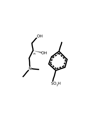 CN(C)C[C@@H](O)CO.Cc1ccc(S(=O)(=O)O)cc1